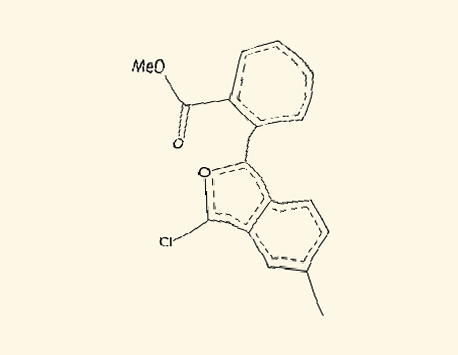 COC(=O)c1ccccc1-c1oc(Cl)c2cc(C)ccc12